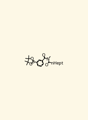 CCCCCCCC(=O)N(C)C(=O)c1cccc(B2OC(C)(C)C(C)(C)O2)c1